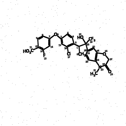 CC(c1ccc(Oc2ccc(C(=O)O)c(F)c2)cc1Cl)C(O)(c1ccc2c(c1)OCC(=O)N2C)C(F)(F)F